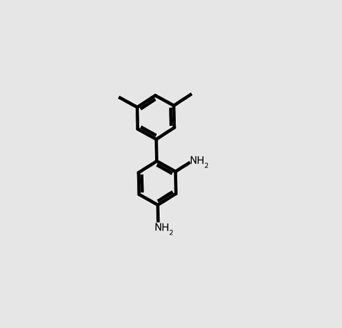 Cc1cc(C)cc(-c2ccc(N)cc2N)c1